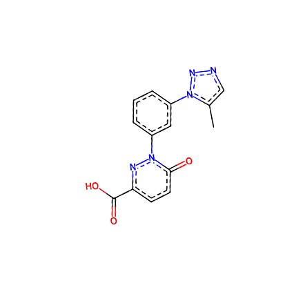 Cc1cnnn1-c1cccc(-n2nc(C(=O)O)ccc2=O)c1